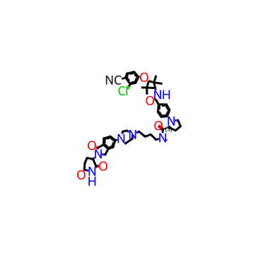 CN(CCCCN1CCN(c2ccc3c(c2)CN(C2CCC(=O)NC2=O)C3=O)CC1)C(=O)[C@@H]1CCCN1c1ccc(C(=O)NC2C(C)(C)C(Oc3ccc(C#N)c(Cl)c3)C2(C)C)cc1